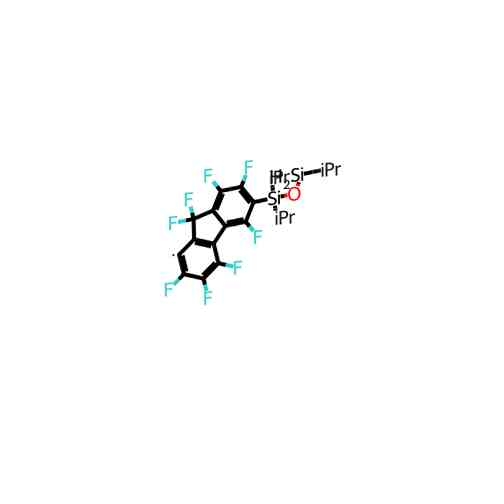 CC(C)[SiH2]O[Si](c1c(F)c(F)c2c(c1F)-c1c([c]c(F)c(F)c1F)C2(F)F)(C(C)C)C(C)C